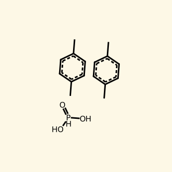 Cc1ccc(C)cc1.Cc1ccc(C)cc1.O=[PH](O)O